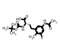 CC(=O)Nc1cc(F)c(C)c(CC[C@H](NC(=O)OC(C)(C)C)C(=O)O)c1